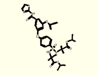 CC(C)OC(=O)C(C)(C)NP(=O)(NC(C)(C)C(=O)OC(C)C)c1ccc(Oc2cc(OC(C)C)cc(C(=O)Nc3nccs3)c2)cc1